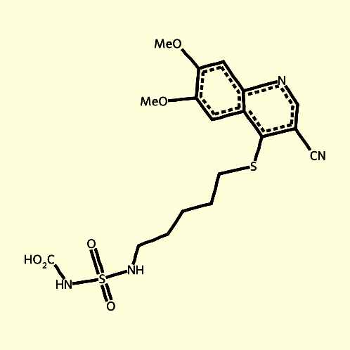 COc1cc2ncc(C#N)c(SCCCCCNS(=O)(=O)NC(=O)O)c2cc1OC